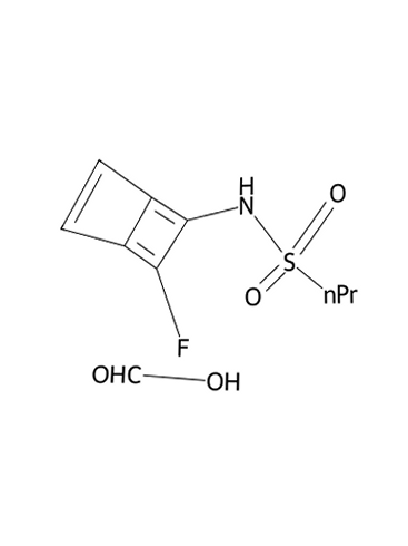 CCCS(=O)(=O)Nc1c2ccc-2c1F.O=CO